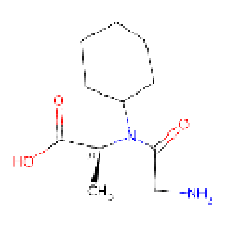 C[C@@H](C(=O)O)N(C(=O)CN)C1CCCCC1